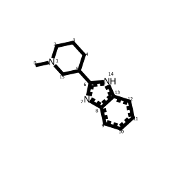 CN1CCCC(c2nc3ccccc3[nH]2)C1